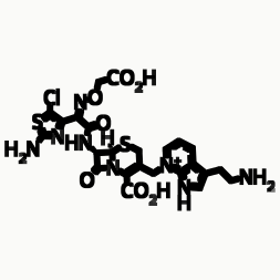 NCCc1c[nH]c2c1ccc[n+]2CC1=C(C(=O)O)N2C(=O)[C@@H](NC(=O)/C(=N\OCC(=O)O)c3nc(N)sc3Cl)[C@H]2SC1